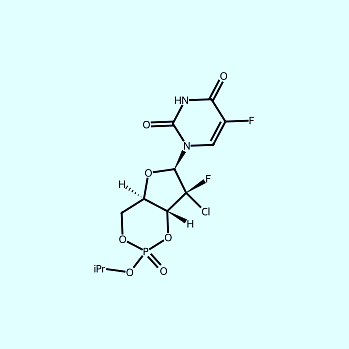 CC(C)OP1(=O)OC[C@H]2O[C@@H](n3cc(F)c(=O)[nH]c3=O)[C@](F)(Cl)[C@@H]2O1